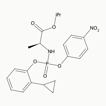 CC(C)OC(=O)[C@H](C)NP(=O)(Oc1ccc([N+](=O)[O-])cc1)Oc1ccccc1C1CC1